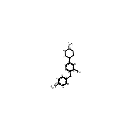 CCCC1CCC(c2ccc(Cc3ccc(N)cc3)c(F)c2)CC1